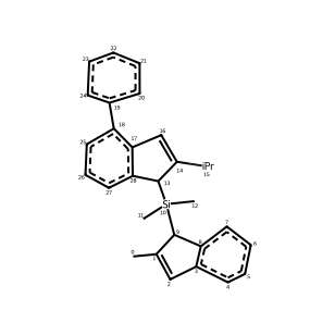 CC1=Cc2ccccc2C1[Si](C)(C)C1C(C(C)C)=Cc2c(-c3ccccc3)cccc21